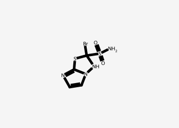 NS(=O)(=O)C1(Br)Nn2ccnc2S1